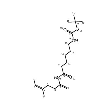 C=C(CC/C(C)=C\C)NC(=O)CCCCCNC(=O)OC(C)(C)C